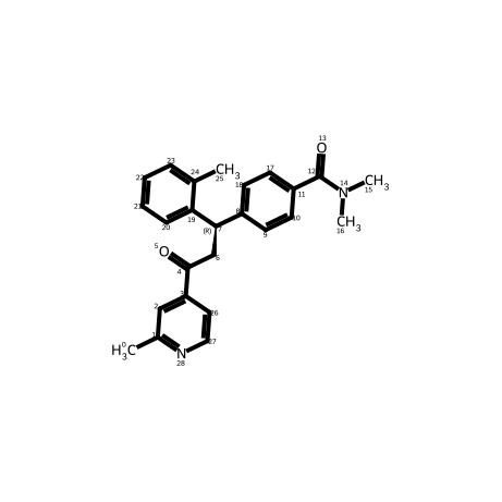 Cc1cc(C(=O)C[C@H](c2ccc(C(=O)N(C)C)cc2)c2ccccc2C)ccn1